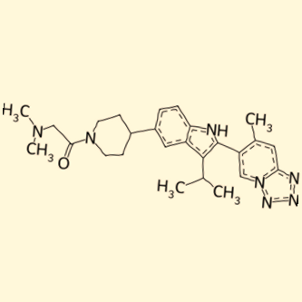 Cc1cc2nnnn2cc1-c1[nH]c2ccc(C3CCN(C(=O)CN(C)C)CC3)cc2c1C(C)C